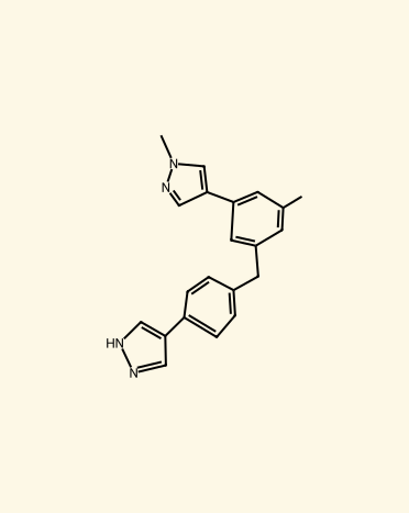 Cc1cc(Cc2ccc(-c3cn[nH]c3)cc2)cc(-c2cnn(C)c2)c1